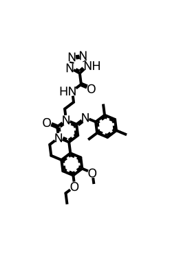 CCOc1cc2c(cc1OC)-c1c/c(=N\c3c(C)cc(C)cc3C)n(CCNC(=O)c3nnn[nH]3)c(=O)n1CC2